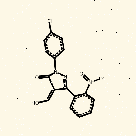 O=C1C(=CO)C(c2ccccc2[N+](=O)[O-])=NN1c1ccc(Cl)cc1